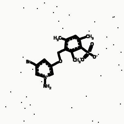 Cc1cc(C)c(S(=O)(=O)[O-])c(C)c1COc1cc(Br)c[n+](N)c1